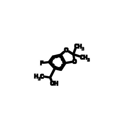 CC(O)c1cc2c(cc1F)OC(C)(C)O2